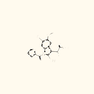 COc1cc2c(C(C)C(=O)O)c(C)n(C(=O)c3cccs3)c2cc1F